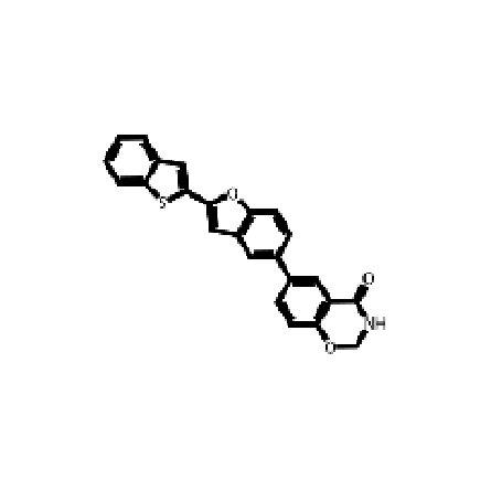 O=C1NCOc2ccc(-c3ccc4oc(-c5cc6ccccc6s5)cc4c3)cc21